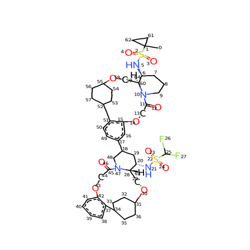 CC1(S(=O)(=O)N[C@H]2CCCN3C(=O)COc4cc(C5C[C@H](NS(=O)(=O)C(F)F)[C@@H]6COC7CCC(CC7)c7ccccc7OCC(=O)N6C5)ccc4C4CCC(CC4)OC[C@@H]23)CC1